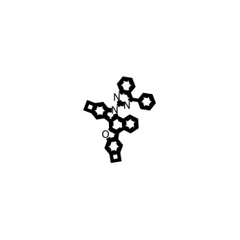 c1ccc(-c2nc(-n3c4cc5c(cc4c4c6oc7cc8c(cc7c6c6ccccc6c43)CC8)CC5)nc3ccccc23)cc1